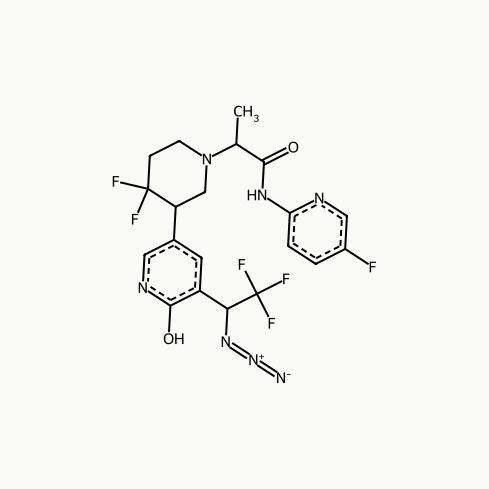 CC(C(=O)Nc1ccc(F)cn1)N1CCC(F)(F)C(c2cnc(O)c(C(N=[N+]=[N-])C(F)(F)F)c2)C1